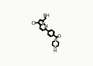 B=Cc1cc(Cl)c2ccc(-c3ccc(C(=O)N4CCNCC4)cc3)nn12